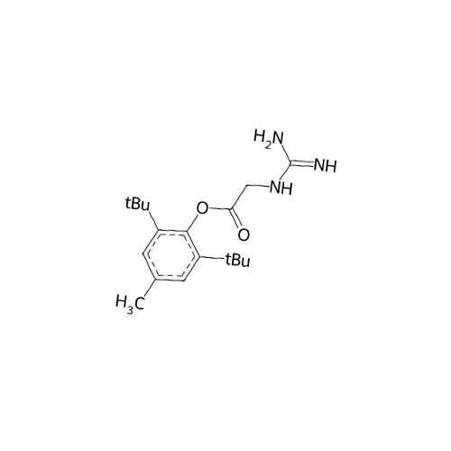 Cc1cc(C(C)(C)C)c(OC(=O)CNC(=N)N)c(C(C)(C)C)c1